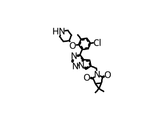 Cc1cc(Cl)cc(-c2ncnn3cc(CN4C(=O)C5C(C4=O)C5(C)C)cc23)c1OC1CCNCC1